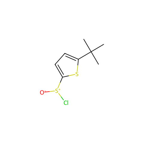 CC(C)(C)c1ccc([S+]([O-])Cl)s1